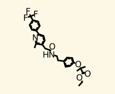 CCOC(=O)C(C)(C)Oc1ccc(CCNC(=O)Cc2ccc(-c3ccc(C(F)(F)F)cc3)nc2C)cc1